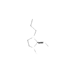 CCCN1CCN(N)C1=NC